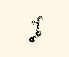 N/C(CCCOC1=NCCC(NCc2ccccc2)=C1)=N\SC(F)(F)F